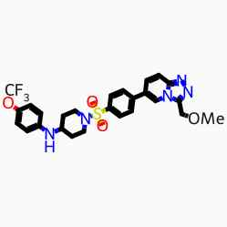 COCc1nnc2ccc(-c3ccc(S(=O)(=O)N4CCC(Nc5ccc(OC(F)(F)F)cc5)CC4)cc3)cn12